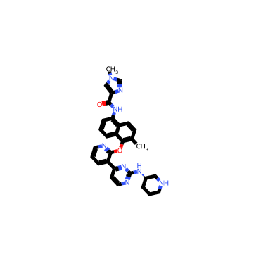 Cc1ccc2c(NC(=O)c3cn(C)cn3)cccc2c1Oc1ncccc1-c1ccnc(N[C@H]2CCCNC2)n1